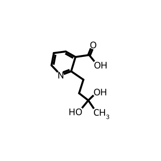 CC(O)(O)CCc1ncccc1C(=O)O